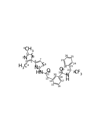 Cc1nc(C)c(-c2csc(NC(=O)Cc3cccc(C(=O)N[C@H](c4ccccc4)C(F)(F)F)c3)n2)s1